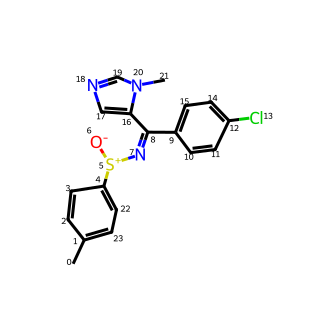 Cc1ccc([S+]([O-])N=C(c2ccc(Cl)cc2)c2cncn2C)cc1